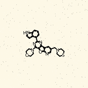 c1cc(-c2nc(N3CCOCC3)c3oc4ncc(CN5CCSCC5)cc4c3n2)c2cc[nH]c2c1